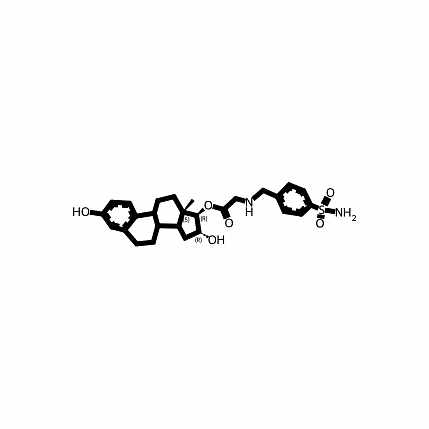 C[C@]12CCC3c4ccc(O)cc4CCC3C1C[C@@H](O)[C@@H]2OC(=O)CNCc1ccc(S(N)(=O)=O)cc1